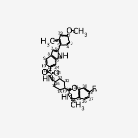 COc1ccc(-c2cc3ccc(S(=O)(=O)NC4CCC(C(=O)N[C@H](C)c5ccc(F)cc5)CC4)cc3[nH]2)c(C)c1